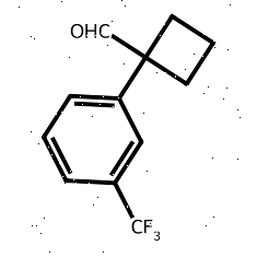 O=CC1(c2cccc(C(F)(F)F)c2)CCC1